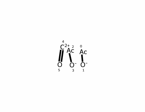 CC(=O)[O-].CC(=O)[O-].[C+2]=O